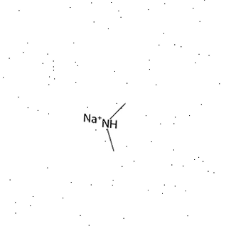 CNC.[Na+]